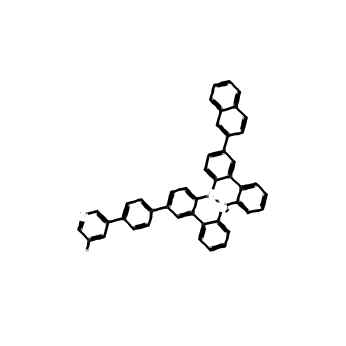 Cc1cncc(-c2ccc(-c3ccc4c(c3)-c3ccccc3P3(=O)c5ccccc5-c5cc(-c6ccc7ccccc7c6)ccc5N43)cc2)c1